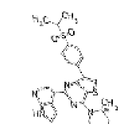 CC(C)S(=O)(=O)c1ccc(-c2csc3c(N4CCOC[C@H]4C)nc(-c4ccnc5[nH]ccc45)nc23)cc1